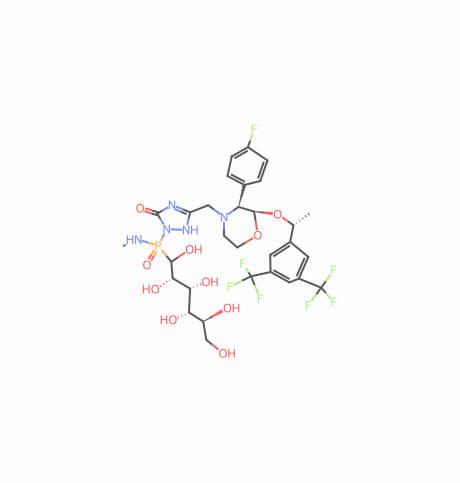 CNP(=O)(C(O)[C@@H](O)[C@H](O)[C@@H](O)[C@@H](O)CO)n1[nH]c(CN2CCO[C@H](O[C@H](C)c3cc(C(F)(F)F)cc(C(F)(F)F)c3)[C@@H]2c2ccc(F)cc2)nc1=O